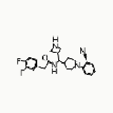 N#Cc1ccccc1N1CCC(C(NC(=O)Cc2ccc(F)c(F)c2)C2CNC2)CC1